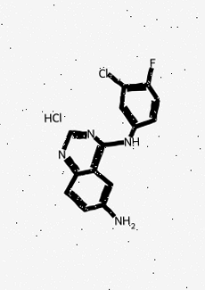 Cl.Nc1ccc2ncnc(Nc3ccc(F)c(Cl)c3)c2c1